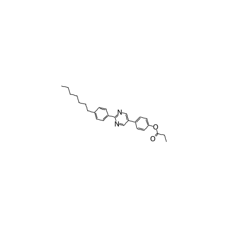 CCCCCCCc1ccc(-c2ncc(-c3ccc(OC(=O)CC)cc3)cn2)cc1